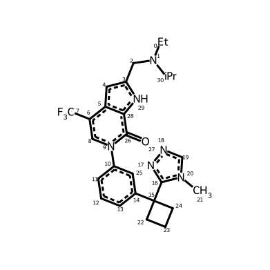 CCN(Cc1cc2c(C(F)(F)F)cn(-c3cccc(C4(c5nncn5C)CCC4)c3)c(=O)c2[nH]1)C(C)C